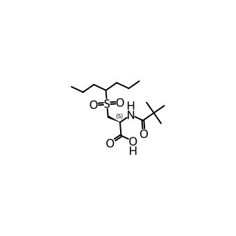 CCCC(CCC)S(=O)(=O)C[C@@H](NC(=O)C(C)(C)C)C(=O)O